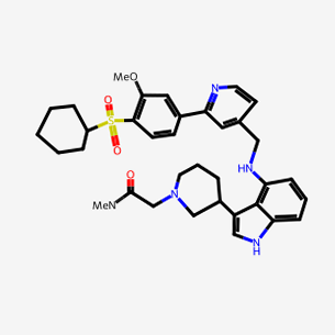 CNC(=O)CN1CCCC(c2c[nH]c3cccc(NCc4ccnc(-c5ccc(S(=O)(=O)C6CCCCC6)c(OC)c5)c4)c23)C1